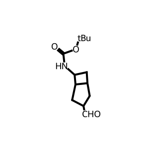 CC(C)(C)OC(=O)NC1CC2CC(C=O)CC21